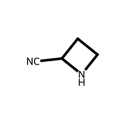 N#CC1CCN1